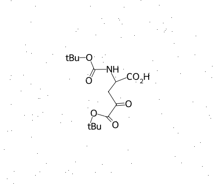 CC(C)(C)OC(=O)NC(CC(=O)C(=O)OC(C)(C)C)C(=O)O